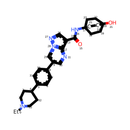 CCN1CCC(c2ccc(-c3cnc4c(C(=O)NC56CCC(O)(CC5)CC6)cnn4c3)cc2)CC1